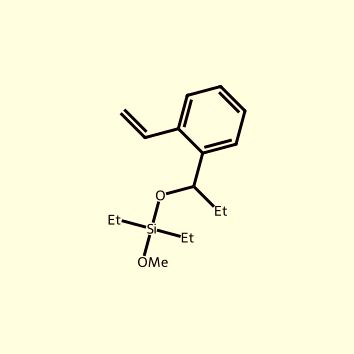 C=Cc1ccccc1C(CC)O[Si](CC)(CC)OC